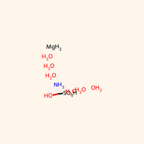 N.O.O.O.O.O.O.O=S(=O)(O)O.[MgH2]